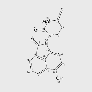 C=C1CCC(N2C(=O)c3cccc4c(O)cnc2c34)C(=O)N1